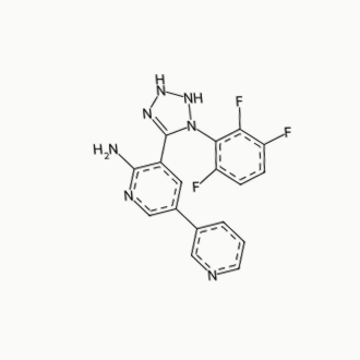 Nc1ncc(-c2cccnc2)cc1C1=NNNN1c1c(F)ccc(F)c1F